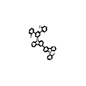 Fc1ccccc1-c1cc(-c2ccccc2F)cc(-n2c3ccccc3c3cc(-c4ccc5c(c4)c4ccccc4n5-c4ccccc4F)ccc32)c1